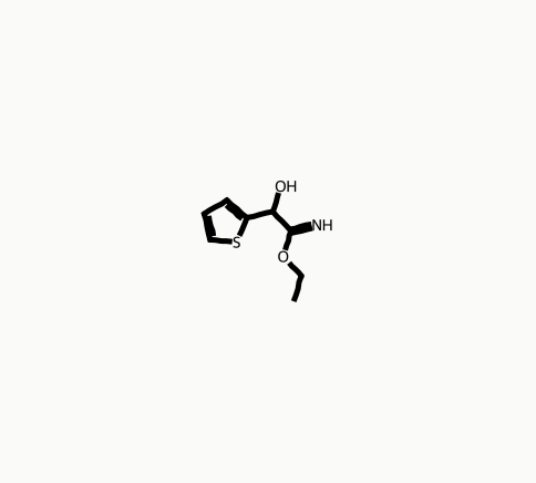 CCOC(=N)C(O)c1cccs1